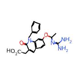 CC(N=C(N)N)Oc1ccc2cc(CC(=O)O)c(=O)n(Cc3ccccc3)c2c1